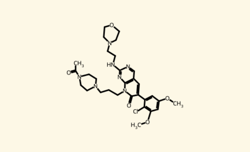 COc1cc(OC)c(Cl)c(-c2cc3cnc(NCCN4CCOCC4)nc3n(CCCN3CCN(C(C)=O)CC3)c2=O)c1